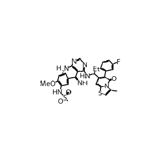 CC[C@H](Nc1ncnc(N)c1C(=N)c1ccc(OC)c(NS(C)(=O)=O)c1)c1cc2scc(C)n2c(=O)c1-c1cccc(F)c1